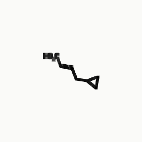 O=C(O)C=CCC1CC1